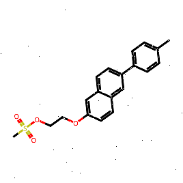 Cc1ccc(-c2ccc3cc(OCCOS(C)(=O)=O)ccc3c2)cc1